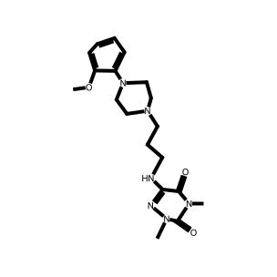 COc1ccccc1N1CCN(CCCNc2nn(C)c(=O)n(C)c2=O)CC1